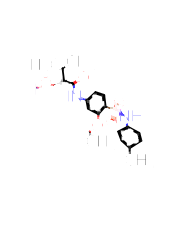 CCOc1cc(NC(=O)[C@@H](COI)C(C)C)ccc1S(=O)(=O)Nc1ccc(C)cc1